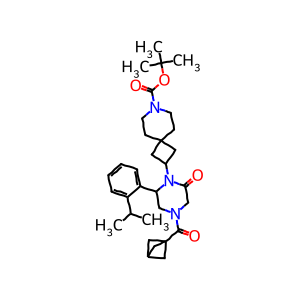 CC(C)c1ccccc1C1CN(C(=O)C23CC(C2)C3)CC(=O)N1C1CC2(CCN(C(=O)OC(C)(C)C)CC2)C1